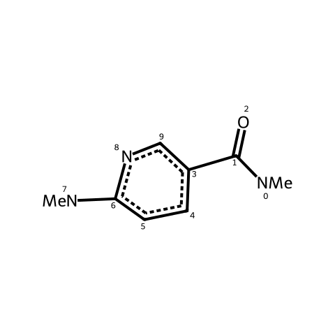 CNC(=O)c1ccc(NC)nc1